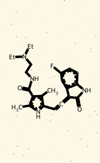 CCN(CC)CCNC(=O)c1c(C)[nH]c(C=C=C2C(=O)Nc3ccc(F)cc32)c1C